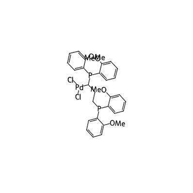 COc1ccccc1P(CC[CH](P(c1ccccc1OC)c1ccccc1OC)[Pd]([Cl])[Cl])c1ccccc1OC